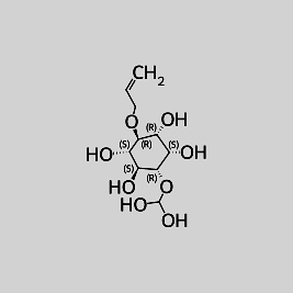 C=CCO[C@H]1[C@H](O)[C@H](O)[C@H](OC(O)O)[C@@H](O)[C@@H]1O